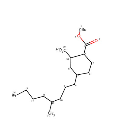 CCCCOC(=O)C1CCC(CCCC(C)CCCC(C)C)CC1C(=O)O